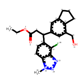 CCOC(=O)CC(c1cc(CO)c2c(c1)CCC2)c1ccc2c(nnn2C)c1F